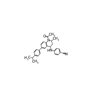 CC(=O)N1c2ccc(-c3ccc(C(C)C)cc3)cc2C(Nc2ccc(C#N)cc2)CC1C